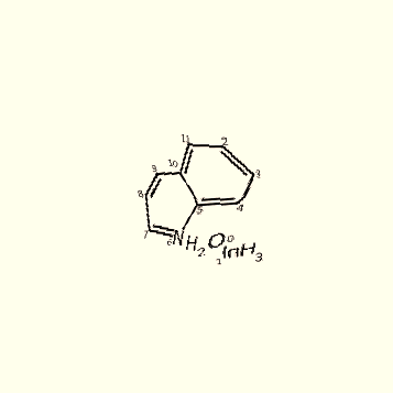 O.[InH3].c1ccc2ncccc2c1